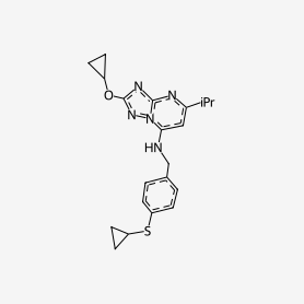 CC(C)c1cc(NCc2ccc(SC3CC3)cc2)n2nc(OC3CC3)nc2n1